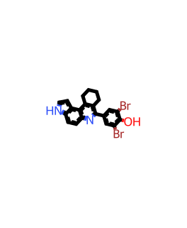 Oc1c(Br)cc(-c2nc3ccc4[nH]ccc4c3c3c2CCCC3)cc1Br